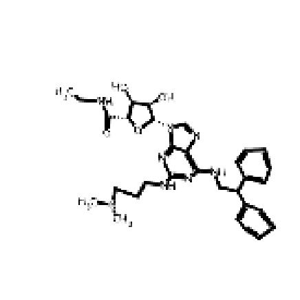 CCNC(=O)[C@H]1O[C@@H](n2cnc3c(NCC(c4ccccc4)c4ccccc4)nc(NCCCN(C)C)nc32)[C@H](O)[C@@H]1O